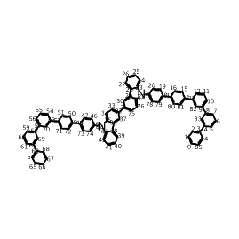 c1ccc(-c2cccc(-c3cccc(-c4ccc(-c5ccc(-n6c7ccccc7c7cc(-c8ccc9c(c8)c8ccccc8n9-c8ccc(-c9ccc(-c%10cccc(-c%11cccc(-c%12ccccc%12)c%11)c%10)cc9)cc8)ccc76)cc5)cc4)c3)c2)cc1